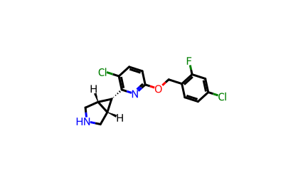 Fc1cc(Cl)ccc1COc1ccc(Cl)c([C@@H]2[C@@H]3CNC[C@@H]32)n1